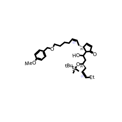 CC/C=C\C[C@H](CC(O)C1C(=O)C=C[C@H]1C/C=C\CCCCOCc1ccc(OC)cc1)O[Si](C)(C)C(C)(C)C